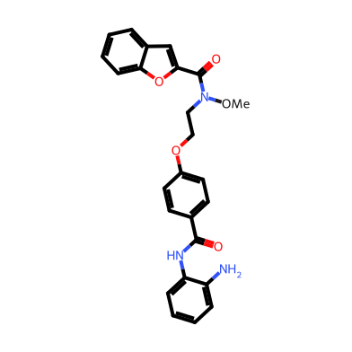 CON(CCOc1ccc(C(=O)Nc2ccccc2N)cc1)C(=O)c1cc2ccccc2o1